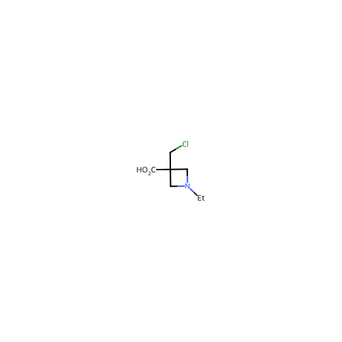 CCN1CC(CCl)(C(=O)O)C1